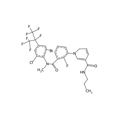 CCCNC(=O)C1=CN(c2cccc(C(=O)N(C)c3c(Cl)cc(C(F)(C(F)(F)F)C(F)(F)F)cc3Br)c2F)CC=C1